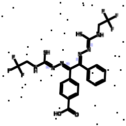 O=C(O)c1ccc(C(=N\N=C(/S)NCC(F)(F)F)/C(=N/N=C(\S)NCC(F)(F)F)c2ccccc2)cc1